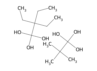 CC(C)(C)C(O)(O)O.CCC(CC)(CC)C(O)(O)O